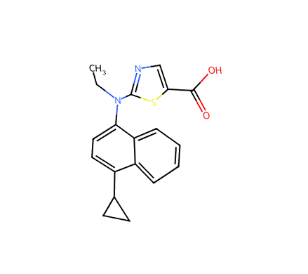 CCN(c1ncc(C(=O)O)s1)c1ccc(C2CC2)c2ccccc12